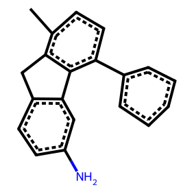 Cc1ccc(-c2ccccc2)c2c1Cc1ccc(N)cc1-2